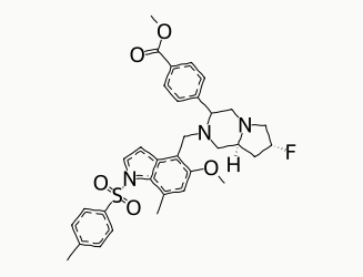 COC(=O)c1ccc(C2CN3C[C@H](F)C[C@H]3CN2Cc2c(OC)cc(C)c3c2ccn3S(=O)(=O)c2ccc(C)cc2)cc1